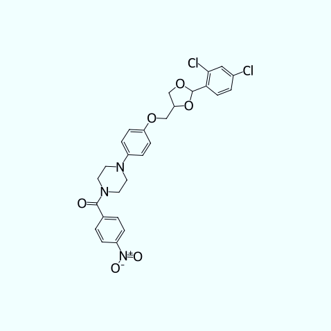 O=C(c1ccc([N+](=O)[O-])cc1)N1CCN(c2ccc(OCC3COC(c4ccc(Cl)cc4Cl)O3)cc2)CC1